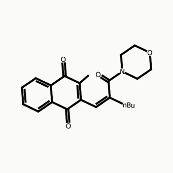 CCCC/C(=C/C1=C(C)C(=O)c2ccccc2C1=O)C(=O)N1CCOCC1